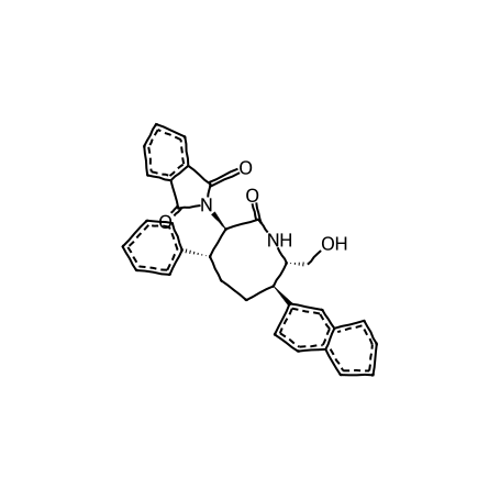 O=C1N[C@H](CO)[C@@H](c2ccc3ccccc3c2)CC[C@H](c2ccccc2)[C@H]1N1C(=O)c2ccccc2C1=O